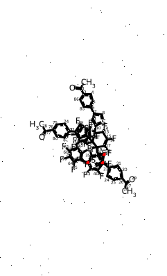 CC(=O)c1ccc(-c2csc(C3(F)C(F)C(F)=C(F)C(c4cc(-c5ccc(C(C)=O)cc5)cs4)([B-](c4c(F)c(F)c(F)c(F)c4F)(c4c(F)c(F)c(F)c(F)c4F)c4c(F)c(F)c(F)c(F)c4F)C3(F)c3cc(-c4ccc(C(C)=O)cc4)cs3)c2)cc1